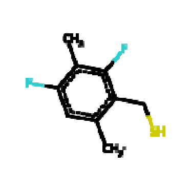 [CH2]c1cc(F)c(C)c(F)c1CS